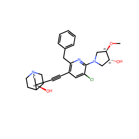 CO[C@@H]1CN(c2nc(Cc3ccccc3)c(C#C[C@@]3(O)CN4CCC3CC4)cc2Cl)C[C@H]1O